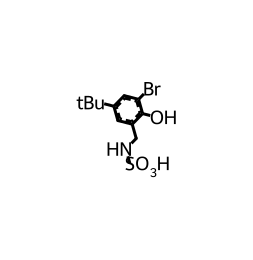 CC(C)(C)c1cc(Br)c(O)c(CNS(=O)(=O)O)c1